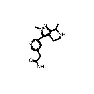 CC1NCCc2c1nn(C)c2-c1cncc(CC(N)=O)c1